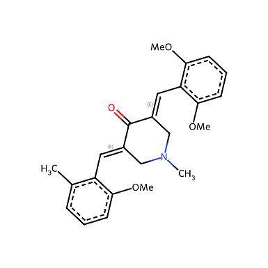 COc1cccc(C)c1/C=C1\CN(C)C/C(=C\c2c(OC)cccc2OC)C1=O